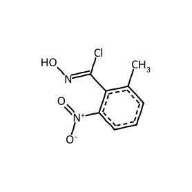 Cc1cccc([N+](=O)[O-])c1C(Cl)=NO